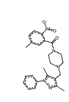 Cc1ccc([N+](=O)[O-])c(C(=O)N2CCN(Cc3c(C)nn(-c4ccccc4)c3C)CC2)c1